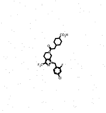 O=C(O)C1CCC(CC(=O)N2CCc3c(C(F)(F)F)nn(Cc4ccc(Cl)cc4F)c3C2)CC1